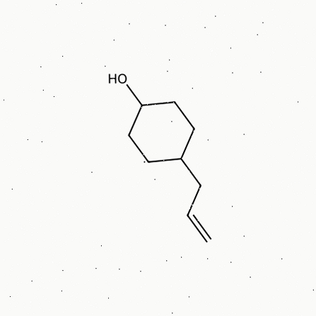 C=CCC1[CH]CC(O)CC1